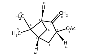 C=C1[C@H](OC(C)=O)C[C@H]2C[C@@H]1C2(C)C